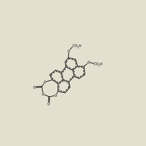 O=C(O)Oc1cc2c(OC(=O)O)ccc3c4ccc5c6c(ccc(c(c1)c23)c64)OC(=O)OC(=O)O5